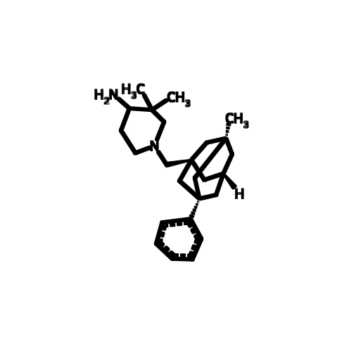 CC1(C)CN(C[C@]23C[C@@H]4C[C@](C)(C2)C[C@@](c2ccccc2)(C4)C3)CCC1N